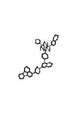 c1ccc(-c2nc(-c3ccc(-c4cc(-c5ccc(-c6ccc7c8c(cccc68)-c6ccccc6-7)cc5)cc5ccccc45)cc3)nc(-c3ccc4ccccc4c3)n2)cc1